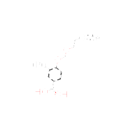 COCCOCOc1ccc(B(O)O)cc1C(C)(C)C